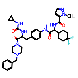 Cn1nccc1C(=O)NC(C(=O)Nc1ccc(CC(NC(=O)NC2CC2)C(=O)N2CCN(Cc3ccccc3)CC2)cc1)C1CCC(F)(F)CC1